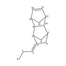 CCC=C1CC2CC1C1C3C=CC(C3)C21